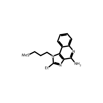 CCc1nc2c(N)nc3ccccc3c2n1CCCSC